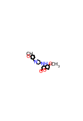 COc1cccc(CN2CCC(Nc3cc(=O)oc4ccc(OC)cc34)CC2)c1